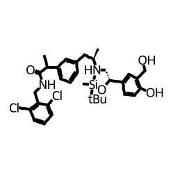 CC(C(=O)NCc1c(Cl)cccc1Cl)c1cccc(C[C@@H](C)NC[C@@H](O[Si](C)(C)C(C)(C)C)c2ccc(O)c(CO)c2)c1